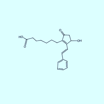 O=C(O)CCCCCCC1=C(C=Cc2ccccc2)C(O)CC1=O